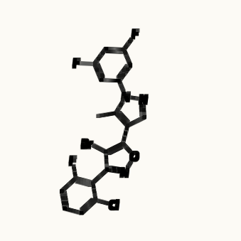 Cc1c(-c2onc(-c3c(F)cccc3Cl)c2Br)cnn1-c1cc(F)cc(F)c1